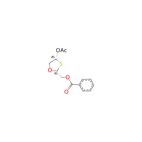 CC(=O)O[C@H]1CO[C@@H](COC(=O)c2ccccc2)S1